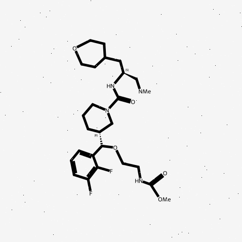 CNC[C@H](CC1CCOCC1)NC(=O)N1CCC[C@@H](C(OCCNC(=O)OC)c2cccc(F)c2F)C1